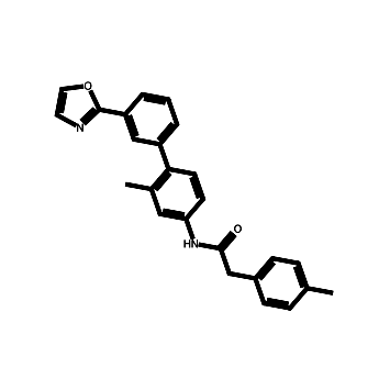 Cc1ccc(CC(=O)Nc2ccc(-c3cccc(-c4ncco4)c3)c(C)c2)cc1